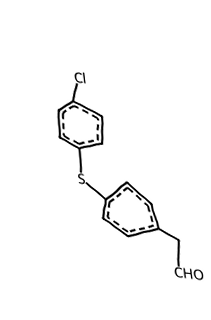 O=CCc1ccc(Sc2ccc(Cl)cc2)cc1